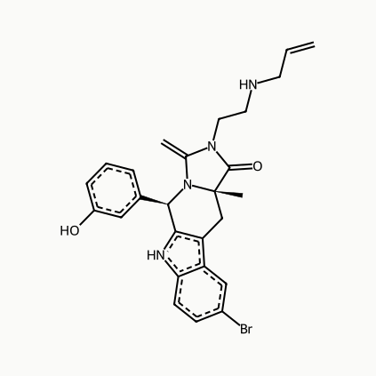 C=CCNCCN1C(=C)N2[C@H](c3cccc(O)c3)c3[nH]c4ccc(Br)cc4c3C[C@@]2(C)C1=O